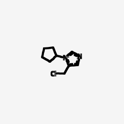 ClCc1cncn1C1CCCC1